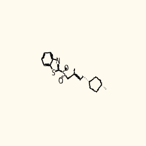 C/C(=C\C[C@H]1CC[C@@H](C)CC1)CS(=O)(=O)c1nc2ccccc2s1